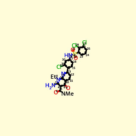 CCn1c(N)c(C(=O)NC)c(=O)c2ccc(-c3ccc(NS(=O)(=O)c4cccc(Cl)c4Cl)cc3Cl)nc21